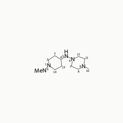 CNN1CCC(NN2CCN(C)CC2)CC1